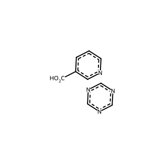 O=C(O)c1cccnc1.c1ncncn1